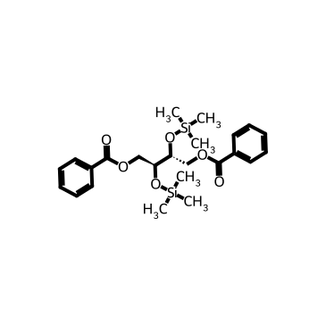 C[Si](C)(C)O[C@@H](COC(=O)c1ccccc1)[C@@H](COC(=O)c1ccccc1)O[Si](C)(C)C